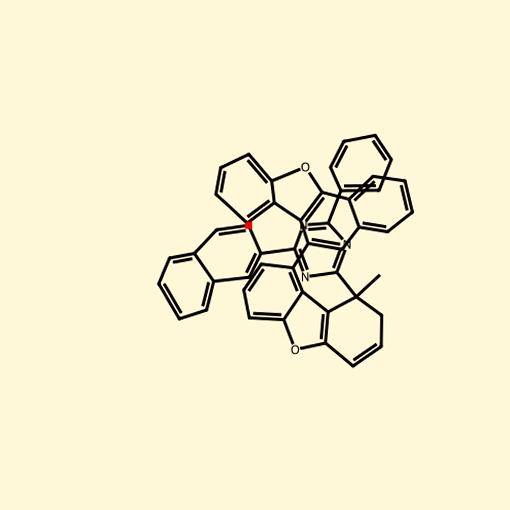 CC1(c2nc(-c3ccccc3)nc(-c3ccc4ccccc4c3)n2)CC=Cc2oc3cccc(-c4cc5ccccc5c5oc6ccccc6c45)c3c21